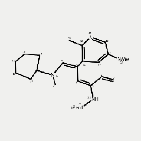 C=C/C(=C\C(=C/N(C)C1CCCCC1)c1cc(NC)cnc1C)NCCCCC